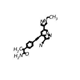 C=C(C(N)=O)c1ccc(C#Cc2cc(-c3cnn(CC)c3)cn3ncc(C#N)c23)cc1